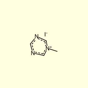 C[n+]1cncnc1.[I-]